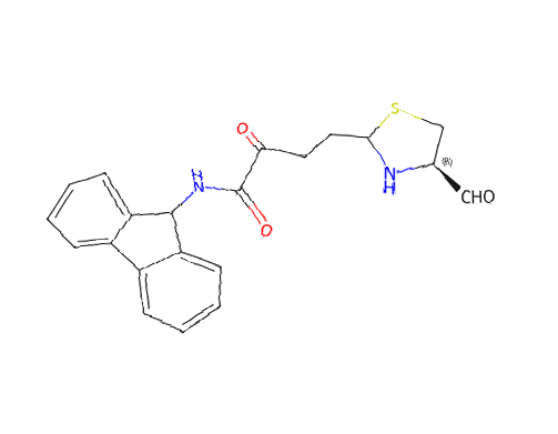 O=C[C@@H]1CSC(CCC(=O)C(=O)NC2c3ccccc3-c3ccccc32)N1